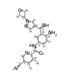 Cc1c(C#N)cnc(C(=O)Nc2ccc(N)c(C(=N)c3cnn(C4COC4)c3)c2)c1C